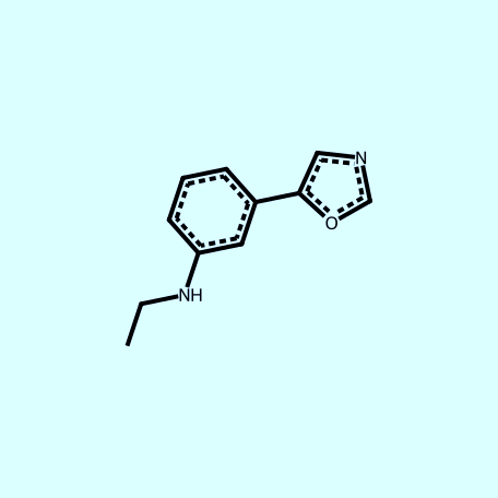 CCNc1cccc(-c2cnco2)c1